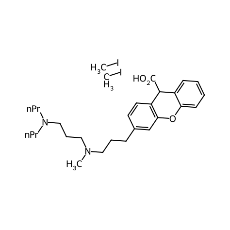 CCCN(CCC)CCCN(C)CCCc1ccc2c(c1)Oc1ccccc1C2C(=O)O.CI.CI